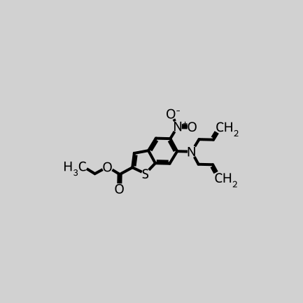 C=CCN(CC=C)c1cc2sc(C(=O)OCC)cc2cc1[N+](=O)[O-]